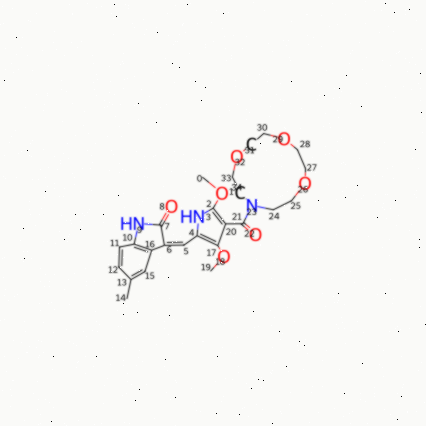 COc1[nH]c(/C=C2\C(=O)Nc3ccc(C)cc32)c(OC)c1C(=O)N1CCOCCOCCOCC1